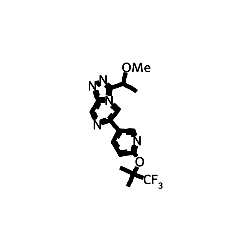 COC(C)c1nnc2cnc(-c3ccc(OC(C)(C)C(F)(F)F)nc3)cn12